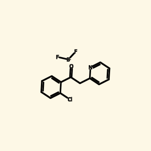 F[B]F.O=C(Cc1ccccn1)c1ccccc1Cl